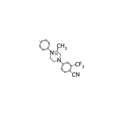 C[C@H]1CN(c2ccc(C#N)c(C(F)(F)F)c2)CCN1c1cc[c]cc1